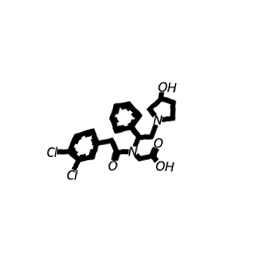 O=C(O)CN(C(=O)Cc1ccc(Cl)c(Cl)c1)C(CN1CCC(O)C1)c1ccccc1